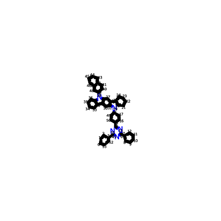 c1ccc(-c2nc(-c3ccccc3)nc(-c3ccc(-n4c5ccccc5c5cc6c(cc54)c4ccccc4n6-c4ccc5ccccc5c4)cc3)n2)cc1